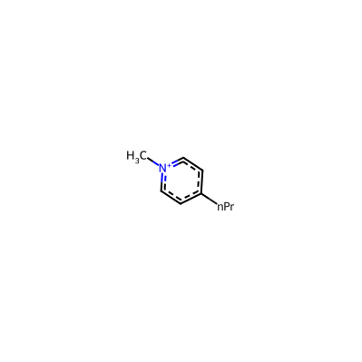 CCCc1cc[n+](C)cc1